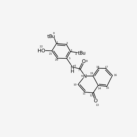 CC(C)(C)c1cc(C(C)(C)C)c(NC(=O)n2ccc(=O)c3ccccc32)cc1O